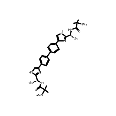 CNC(C)(C)C(=O)N[C@H](c1nc(-c2ccc(-c3ccc(-c4c[nH]c([C@@H](NC(=O)C(C)(C)NC)C(C)(C)C)n4)cc3)cc2)c[nH]1)C(C)(C)C